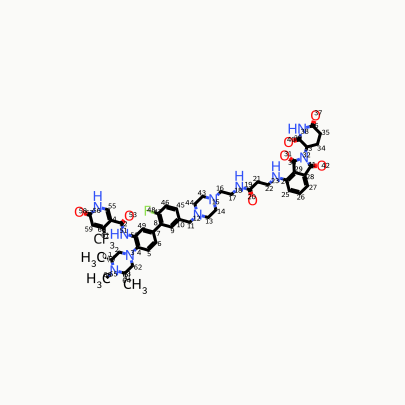 C[C@@H]1CN(c2ccc(-c3cc(CN4CCN(CCNC(=O)CCNc5cccc6c5C(=O)N(C5CCC(=O)NC5=O)C6=O)CC4)ccc3F)cc2NC(=O)c2c[nH]c(=O)cc2C(F)(F)F)C[C@H](C)N1C